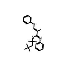 CC(=C\Sc1ccccc1)/C(=N/c1ccccc1)SC(C)(C)CC(C)(C)C